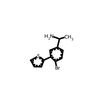 CC(N)c1ccc(Br)c(-c2cccs2)c1